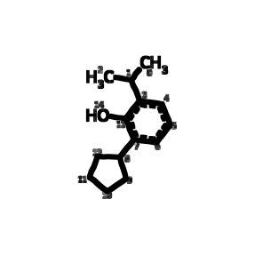 CC(C)c1cccc(C2CCCC2)c1O